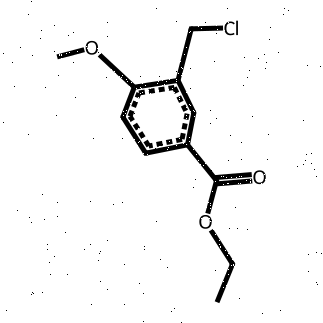 CCOC(=O)c1ccc(OC)c(CCl)c1